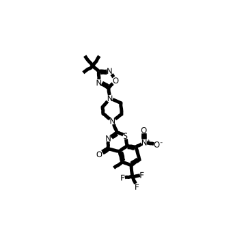 Cc1c(C(F)(F)F)cc([N+](=O)[O-])c2sc(N3CCN(c4nc(C(C)(C)C)no4)CC3)nc(=O)c12